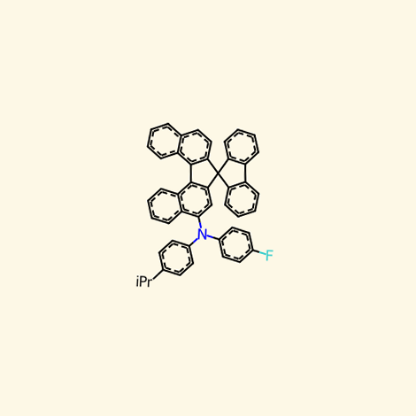 CC(C)c1ccc(N(c2ccc(F)cc2)c2cc3c(c4ccccc24)-c2c(ccc4ccccc24)C32c3ccccc3-c3ccccc32)cc1